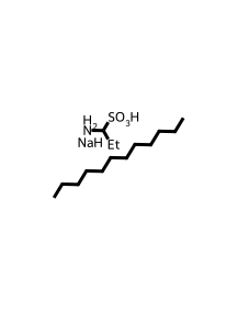 CCC(N)S(=O)(=O)O.CCCCCCCCCCCC.[NaH]